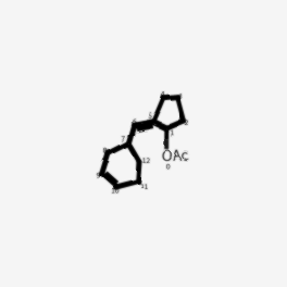 CC(=O)OC1CCCC1=CC1CC=CCC1